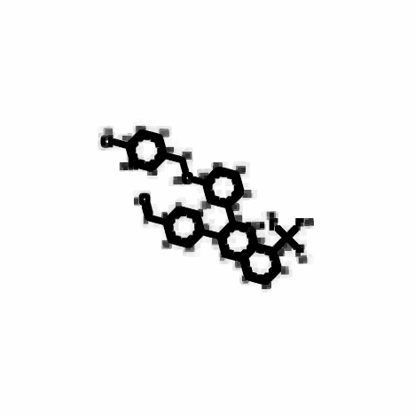 O=Cc1ccc(-c2cc3cccc(C(F)(F)F)c3nc2-c2cccc(OCc3ccc(Cl)nc3)c2)cc1